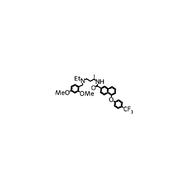 CCN(CC[C@@H](C)NC(=O)c1ccc2c(Oc3ccc(C(F)(F)F)cc3)cccc2c1)Cc1ccc(OC)cc1OC